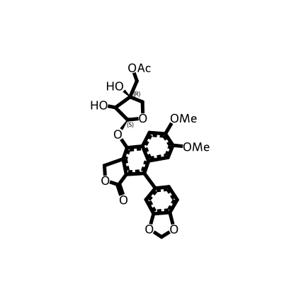 COc1cc2c(O[C@@H]3OC[C@@](O)(COC(C)=O)C3O)c3c(c(-c4ccc5c(c4)OCO5)c2cc1OC)C(=O)OC3